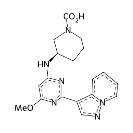 COc1cc(N[C@@H]2CCCN(C(=O)O)C2)nc(-c2cnn3ccccc23)n1